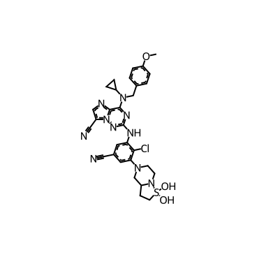 COc1ccc(CN(c2nc(Nc3cc(C#N)cc(N4CCN5C(CCS5(O)O)C4)c3Cl)nn3c(C#N)cnc23)C2CC2)cc1